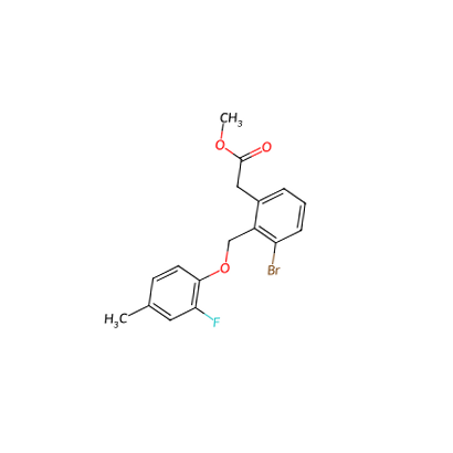 COC(=O)Cc1cccc(Br)c1COc1ccc(C)cc1F